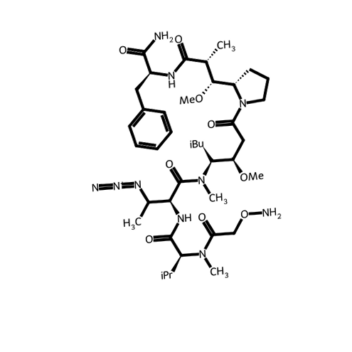 CC[C@H](C)[C@@H]([C@@H](CC(=O)N1CCC[C@H]1[C@H](OC)[C@@H](C)C(=O)N[C@@H](Cc1ccccc1)C(N)=O)OC)N(C)C(=O)[C@@H](NC(=O)[C@H](C(C)C)N(C)C(=O)CON)C(C)N=[N+]=[N-]